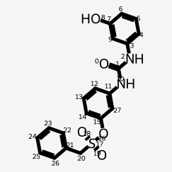 O=C(Nc1cccc(O)c1)Nc1cccc(OS(=O)(=O)Cc2ccccc2)c1